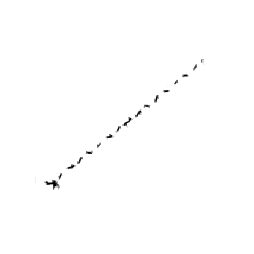 C=C(C)C(=O)OCCOCCOCCOCCOCCOCCOCCOCCOCCOCCOCCOCCOCCOCCOCCOCC